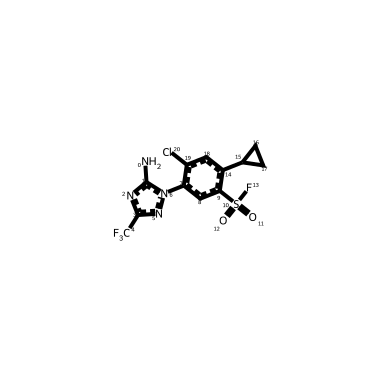 Nc1nc(C(F)(F)F)nn1-c1cc(S(=O)(=O)F)c(C2CC2)cc1Cl